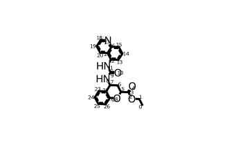 CCOC(=O)C1CC(NC(=O)Nc2cccc3ncccc23)c2ccccc2O1